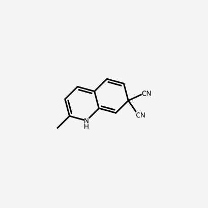 CC1=CC=C2C=CC(C#N)(C#N)C=C2N1